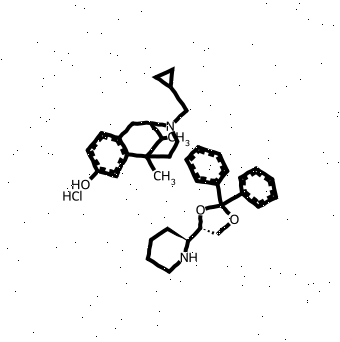 CC1C2Cc3ccc(O)cc3C1(C)CCN2CC1CC1.Cl.c1ccc(C2(c3ccccc3)OC[C@H]([C@@H]3CCCCN3)O2)cc1